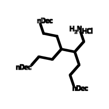 CCCCCCCCCCCCC(CN)C(CCCCCCCCCCCC)CCCCCCCCCCCC.Cl